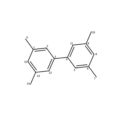 Cc1[c]c(-c2[c]c(C)cc(C)c2)cc(C)c1